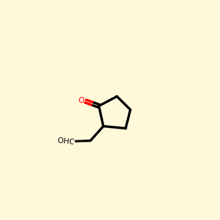 O=CCC1CCCC1=O